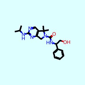 CC(C)Nc1ncc2c(n1)CN(C(=O)NC(CO)c1ccccc1)C2(C)C